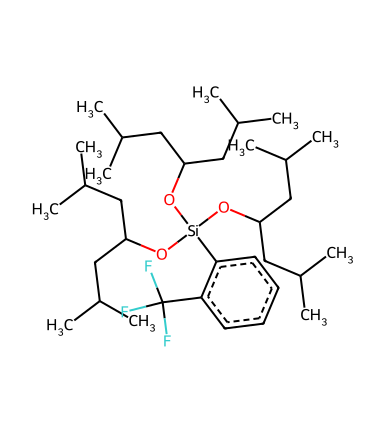 CC(C)CC(CC(C)C)O[Si](OC(CC(C)C)CC(C)C)(OC(CC(C)C)CC(C)C)c1ccccc1C(F)(F)F